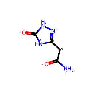 NC(=O)Cc1n[nH]c(=O)[nH]1